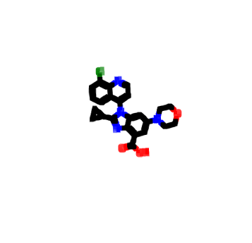 O=C(O)c1cc(N2CCOCC2)cc2c1nc(C1CC1)n2-c1ccnc2c(Cl)cccc12